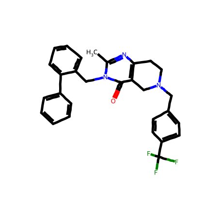 Cc1nc2c(c(=O)n1Cc1ccccc1-c1ccccc1)CN(Cc1ccc(C(F)(F)F)cc1)CC2